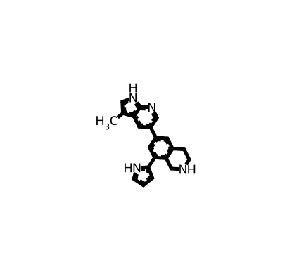 Cc1c[nH]c2ncc(-c3cc4c(c(-c5ccc[nH]5)c3)CNCC4)cc12